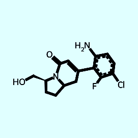 Nc1ccc(Cl)c(F)c1C1=CC(=O)N2C(CC[C@H]2CO)C1